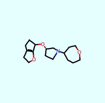 C1COCCC(N2CC[C@@H](OC3CCC4=C3OCC4)C2)C1